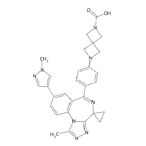 Cc1nnc2n1-c1ccc(-c3cnn(C)c3)cc1C(c1ccc(N3CC4(CN(C(=O)O)C4)C3)cc1)=NC21CC1